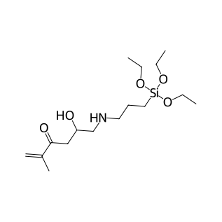 C=C(C)C(=O)CC(O)CNCCC[Si](OCC)(OCC)OCC